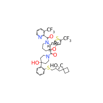 CCC[C@H]1N(C(=O)c2ncccc2C(F)(F)F)CCC[C@@]1(Oc1csc(C(F)(F)F)c1)C(=O)N1CCC(O)(c2ccccc2SCCCC2(C(=O)O)CCC2)CC1